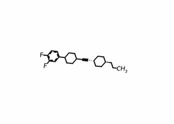 CCC[C@H]1CC[C@H](C#CC2CCC(c3ccc(F)c(F)c3)CC2)CC1